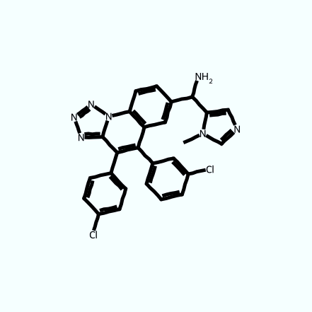 Cn1cncc1C(N)c1ccc2c(c1)c(-c1cccc(Cl)c1)c(-c1ccc(Cl)cc1)c1nnnn12